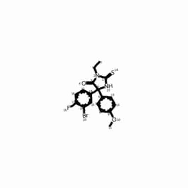 CCN1C(=O)C(c2ccc(OC)cc2)(c2ccc(F)c(Br)c2)NC1=S